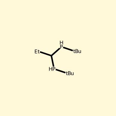 CCC(PC(C)(C)C)PC(C)(C)C